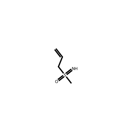 C=CCS(C)(=N)=O